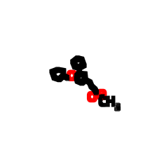 COC(=O)CCCc1ccc(OCC2CCCCC2)c(-c2ccccc2)c1